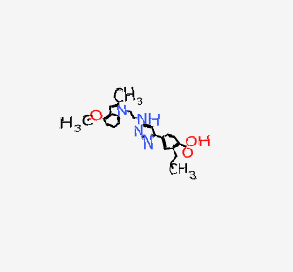 CCCc1cc(-c2cc(NCCn3c(C)cc4c(OC)cccc43)ncn2)ccc1C(=O)O